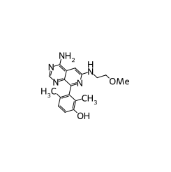 COCCNc1cc2c(N)ncnc2c(-c2c(C)ccc(O)c2C)n1